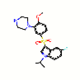 COc1ccc(S(=O)(=O)c2cn(C(C)C)c3ccc(F)cc23)cc1N1CCNCC1